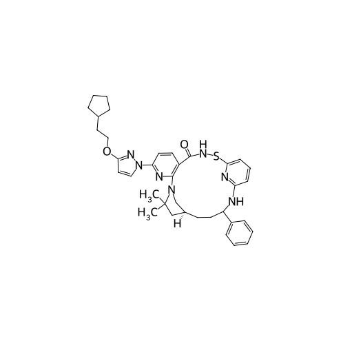 CC1(C)C[C@@H]2CCC(c3ccccc3)Nc3cccc(n3)SNC(=O)c3ccc(-n4ccc(OCCC5CCCC5)n4)nc3N1C2